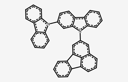 c1ccc2c(c1)-c1cccc3cc(-n4c5ccccc5c5ccc(-n6c7ccccc7c7ccccc76)cc54)cc-2c13